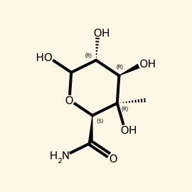 C[C@]1(O)[C@@H](C(N)=O)OC(O)[C@H](O)[C@H]1O